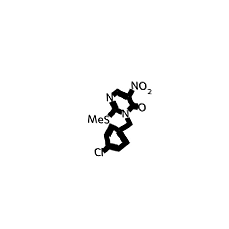 CSc1ncc([N+](=O)[O-])c(=O)n1Cc1ccc(Cl)cc1